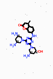 Cc1cc(=O)oc2cc(Nc3nc(N4C[C@H](N)C[C@H](N)C4)nc(N4C[C@@H](N)C[C@@H](O)C4)n3)ccc12